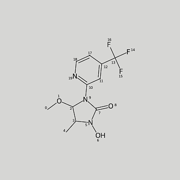 COC1C(C)N(O)C(=O)N1c1cc(C(F)(F)F)ccn1